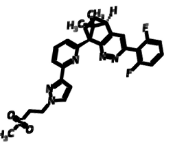 CC1(C)[C@H]2CC[C@@]1(c1cccc(-c3ccn(CCS(C)(=O)=O)n3)n1)c1nnc(-c3c(F)cccc3F)cc12